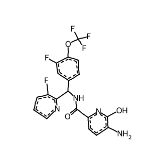 Nc1ccc(C(=O)NC(c2ccc(OC(F)(F)F)c(F)c2)c2ncccc2F)nc1O